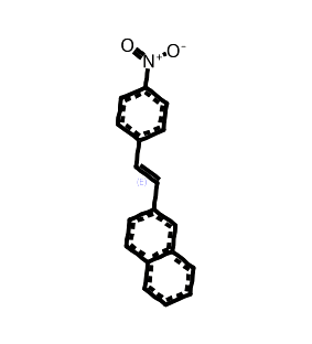 O=[N+]([O-])c1ccc(/C=C/c2ccc3ccccc3c2)cc1